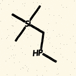 CPC[Si](C)(C)C